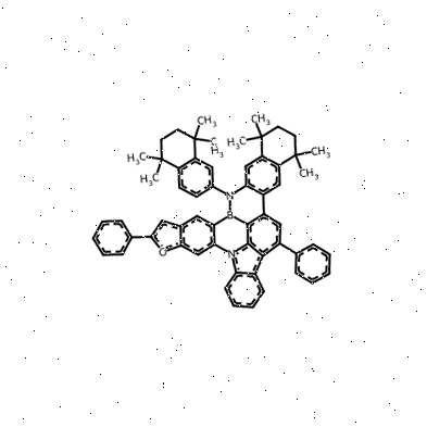 CC1(C)CCC(C)(C)c2cc(N3B4c5cc6cc(-c7ccccc7)oc6cc5-n5c6ccccc6c6c(-c7ccccc7)cc(c4c65)-c4cc5c(cc43)C(C)(C)CCC5(C)C)ccc21